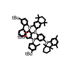 Cc1cc(C)c2c(c1)N(c1ccc3c(c1)N(c1ccc(C(C)(C)C)cc1C)c1cc(C(C)(C)C)cc4c1B3c1cc3c(cc1N4c1ccc(C(C)(C)C)cc1-c1ccccc1)C(C)(C)CCC3(C)C)C1(C)CCCCC21C